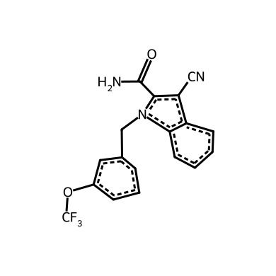 N#Cc1c(C(N)=O)n(Cc2cccc(OC(F)(F)F)c2)c2ccccc12